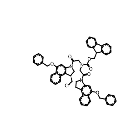 O=C(OCC1c2ccccc2-c2ccccc21)N(CC(=O)N1CCc2c1cc(OCc1ccccc1)c1ccccc21)CC(=O)N1C[C@@H](CCl)c2c1cc(OCc1ccccc1)c1ccccc21